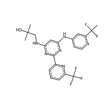 CC(C)(O)CNc1cc(Nc2ccnc(C(C)(F)F)c2)nc(-c2cccc(C(F)(F)F)n2)n1